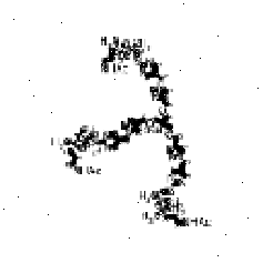 CC(=O)NCCC[Si](C)(C)O[Si](C)(C)CSc1ncc(Cn2cc(COCC(COCc3cn(Cc4cnc(SC[Si](C)(C)O[Si](C)(C)CCCNC(C)=O)nc4)nn3)(COCc3cn(Cc4cnc(SC[Si](C)(C)O[Si](C)(C)CCCNC(C)=O)nc4)nn3)NC(C)=O)nn2)cn1